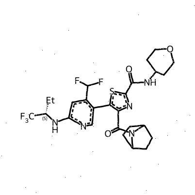 CC[C@H](Nc1cc(C(F)F)c(-c2sc(C(=O)NC3CCOCC3)nc2C(=O)N2C3CCC2CC3)cn1)C(F)(F)F